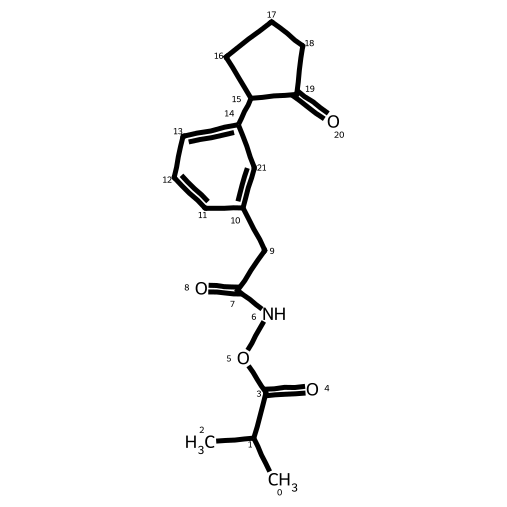 CC(C)C(=O)ONC(=O)Cc1cccc(C2CCCC2=O)c1